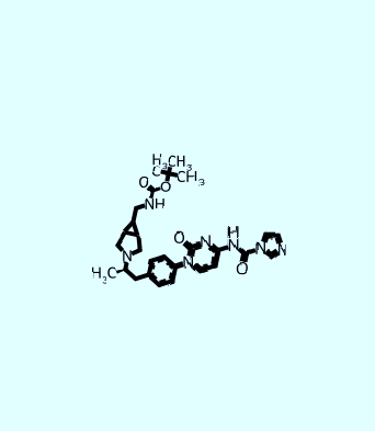 C[C@H](Cc1ccc(-n2ccc(NC(=O)n3ccnc3)nc2=O)cc1)N1CC2C(CNC(=O)OC(C)(C)C)C2C1